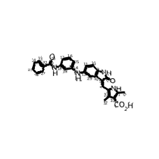 Cc1[nH]c(C=C2C(=O)Nc3ccc(Nc4cccc(NC(=O)c5ccccc5)c4)cc32)c(C)c1C(=O)O